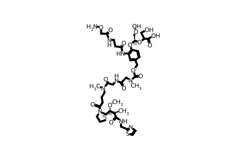 CO[C@H]([C@@H](C)C(=O)NCc1nccs1)[C@@H]1CCCN1C(=O)CCCN(C)C(=O)CNC(=O)CN(C)C(=O)OCc1ccc(O[C@@H](COO)OC(CO)C(=O)O)c(NC(=O)CCNC(=O)CON)c1